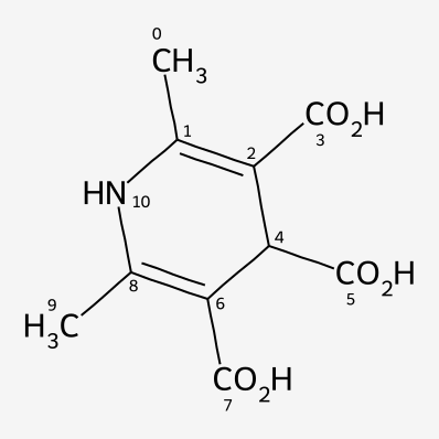 CC1=C(C(=O)O)C(C(=O)O)C(C(=O)O)=C(C)N1